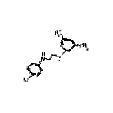 Cc1cc(C)cc(NCCNc2ccc(Cl)cc2)c1